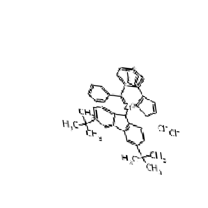 CC(C)(C)c1ccc2c(c1)-c1cc(C(C)(C)C)ccc1[CH]2[Zr+2]([C]1=C(c2ccsc2)C=CC1)=[C](c1ccccc1)c1ccccc1.[Cl-].[Cl-]